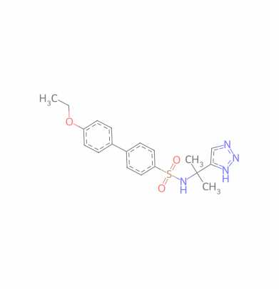 CCOc1ccc(-c2ccc(S(=O)(=O)NC(C)(C)c3cnn[nH]3)cc2)cc1